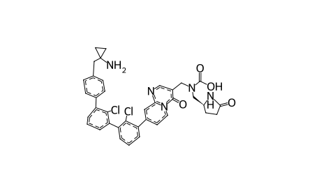 NC1(Cc2ccc(-c3cccc(-c4cccc(-c5ccn6c(=O)c(CN(C[C@@H]7CCC(=O)N7)C(=O)O)cnc6c5)c4Cl)c3Cl)cc2)CC1